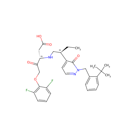 CC[C@H](CN[C@@H](CC(=O)O)C(=O)COc1c(F)cccc1F)c1ccnn(Cc2ccccc2C(C)(C)C)c1=O